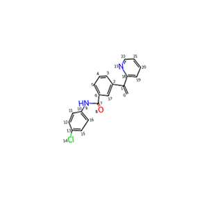 C=C(c1cccc(C(=O)Nc2ccc(Cl)cc2)c1)c1ccccn1